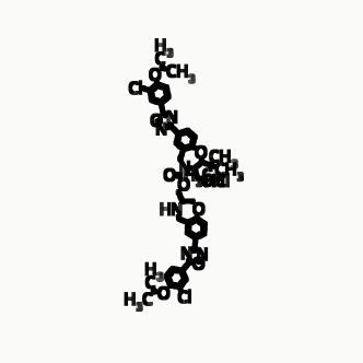 CC(C)Oc1ccc(-c2nc(-c3ccc4c(c3)CNC(COC(=O)N3Cc5cc(-c6noc(-c7ccc(OC(C)C)c(Cl)c7)n6)ccc5OC(C(C)(C)C)C3CO)CO4)no2)cc1Cl.Cl